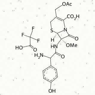 CO[C@@]1(NC(=O)C(N)c2ccc(O)cc2)C(=O)N2C(C(=O)O)=C(COC(C)=O)CS[C@@H]21.O=C(O)C(F)(F)F